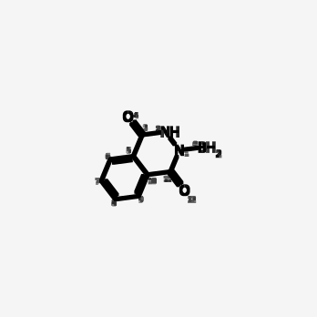 Bn1[nH]c(=O)c2ccccc2c1=O